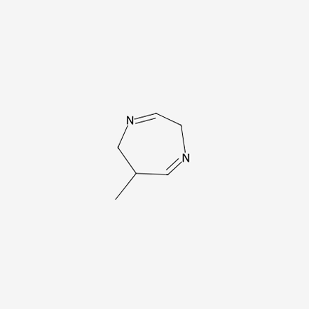 CC1C=NCC=NC1